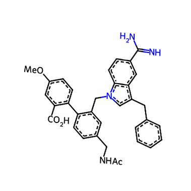 COc1ccc(-c2ccc(CNC(C)=O)cc2Cn2cc(Cc3ccccc3)c3cc(C(=N)N)ccc32)c(C(=O)O)c1